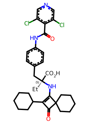 CC[C@@](Cc1ccc(NC(=O)c2c(Cl)cncc2Cl)cc1)(NC1=C(C2CCCCC2)C(=O)C12CCCCC2)C(=O)O